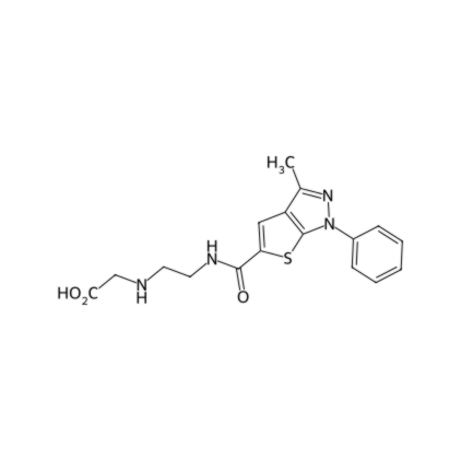 Cc1nn(-c2ccccc2)c2sc(C(=O)NCCNCC(=O)O)cc12